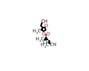 C#CCC1=C(C)[C@@H](OC(=O)[C@@H]2[C@@H](C=C(C)C#N)C2(C)C)CC1=O